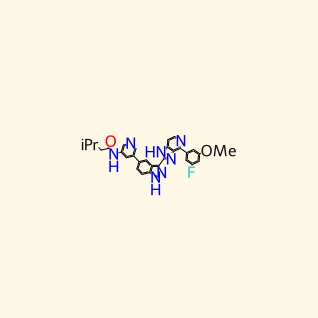 COc1cc(F)cc(-c2nccc3[nH]c(-c4n[nH]c5ccc(-c6cncc(NC(=O)CC(C)C)c6)cc45)nc23)c1